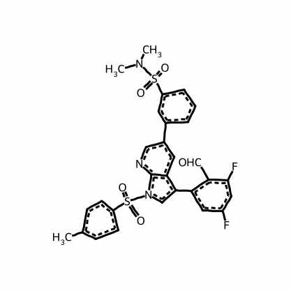 Cc1ccc(S(=O)(=O)n2cc(-c3cc(F)cc(F)c3C=O)c3cc(-c4cccc(S(=O)(=O)N(C)C)c4)cnc32)cc1